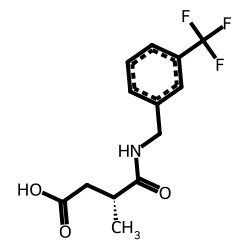 C[C@H](CC(=O)O)C(=O)NCc1cccc(C(F)(F)F)c1